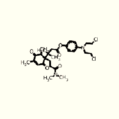 CC1=CC(=O)C(CCC(=O)N(C)C)(C(C)(C)CC(=O)Oc2ccc(N(CCCl)CCCl)cc2)C(C)C1=O